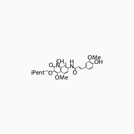 CCCC(C)COc1c(OC)c2ccc(NC(=O)C=Cc3ccc(O)c(OC)c3)cc2n(C)c1=O